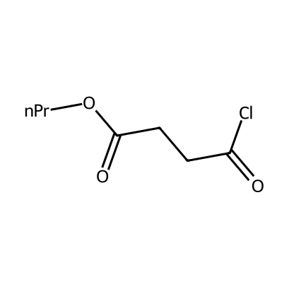 CCCOC(=O)CCC(=O)Cl